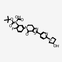 CC(C)(C)OC(=O)N(C(=O)O)c1cc(N2CCc3nc(-c4ccc(N5CCC(O)C5)nc4)sc3C2=O)ccc1F